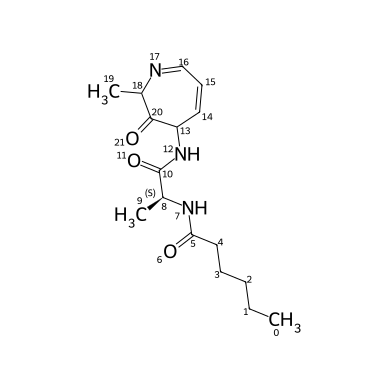 CCCCCC(=O)N[C@@H](C)C(=O)NC1C=CC=NC(C)C1=O